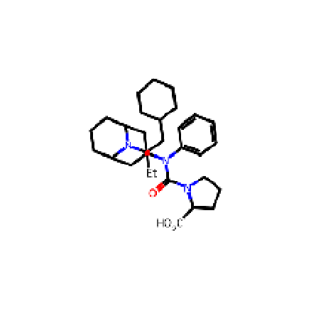 CCC(CC1CCCCC1)N1C2CCCC1CC(N(C(=O)N1CCCC1C(=O)O)c1ccccc1)C2